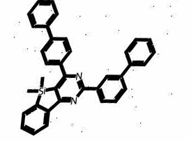 C[Si]1(C)c2ccccc2-c2nc(-c3cccc(-c4ccccc4)c3)nc(-c3ccc(-c4ccccc4)cc3)c21